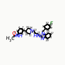 CC(=O)Nc1cccc(C2CCN(CCCNc3nc4ccccc4n3Cc3ccc(F)cc3)CC2)c1